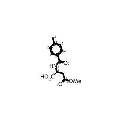 COC(=O)C[C@H](NC(=O)c1ccc(C)cc1)C(=O)O